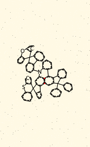 c1ccc(C2(c3ccccc3)c3ccccc3-c3c(-c4ccccc4N(c4ccc5c(c4)C4(c6ccccc6Sc6ccccc64)c4ccccc4-5)c4cccc5c4-c4ccccc4C54c5ccccc5Oc5ccccc54)cccc32)cc1